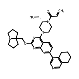 C=CC(=O)N1CCN(c2nc(OCC34CCCN3CCC4)nc3nc(-c4cncc5c4CCCC5)ccc23)C[C@@H]1CC#N